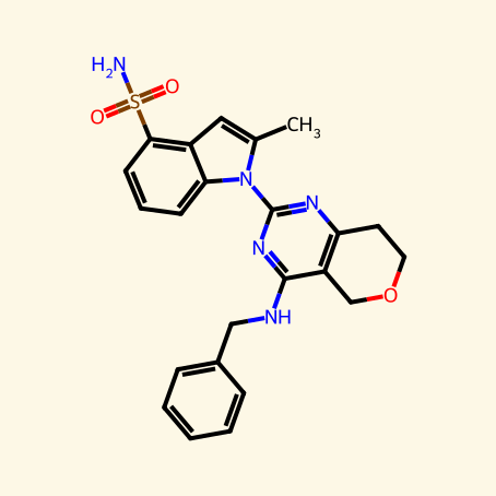 Cc1cc2c(S(N)(=O)=O)cccc2n1-c1nc2c(c(NCc3ccccc3)n1)COCC2